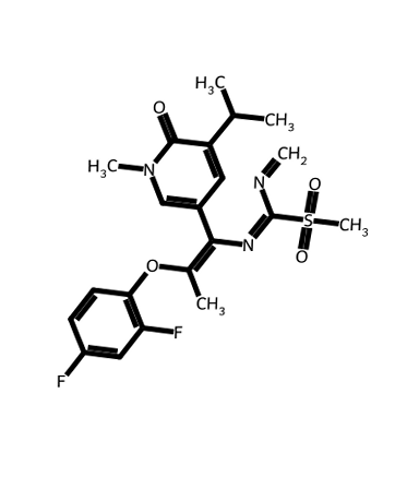 C=N/C(=N\C(=C(/C)Oc1ccc(F)cc1F)c1cc(C(C)C)c(=O)n(C)c1)S(C)(=O)=O